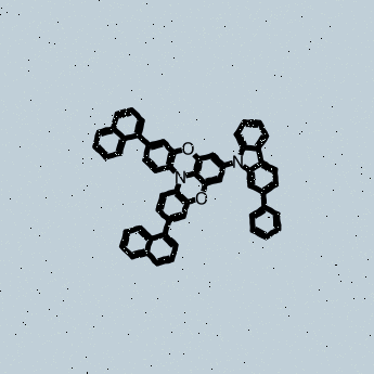 c1ccc(-c2ccc3c4ccccc4n(-c4cc5c6c(c4)Oc4cc(-c7cccc8ccccc78)ccc4N6c4ccc(-c6cccc7ccccc67)cc4O5)c3c2)cc1